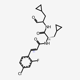 O=CC(CC1CC1)NC(=O)[C@H](CC1CC1)NC(=O)/C=C/c1ccc(Cl)cc1F